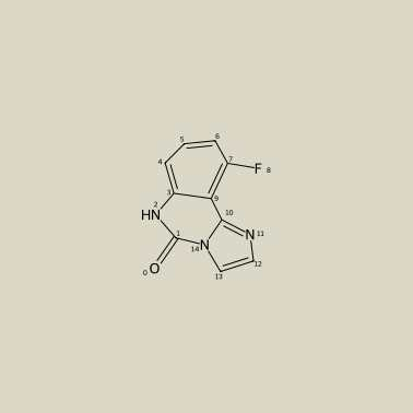 O=c1[nH]c2cccc(F)c2c2nccn12